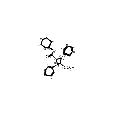 O=C(O)[C@H]1[C@@H](c2ccccc2)[C@H](C(=O)OC2CCCCC2)[C@@H]1c1ccccc1